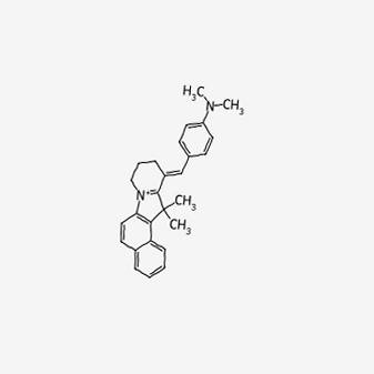 CN(C)c1ccc(C=C2CCC[N+]3=C2C(C)(C)c2c3ccc3ccccc23)cc1